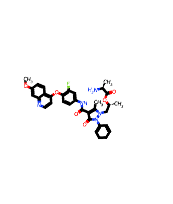 COc1ccc2c(Oc3ccc(NC(=O)c4c(C)n(C[C@@H](C)OC(=O)[C@H](C)N)n(C5=CCCC=C5)c4=O)cc3F)ccnc2c1